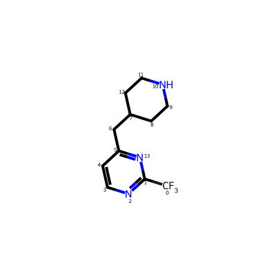 FC(F)(F)c1nccc(CC2CCNCC2)n1